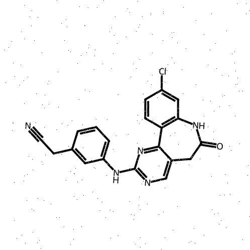 N#CCc1cccc(Nc2ncc3c(n2)-c2ccc(Cl)cc2NC(=O)C3)c1